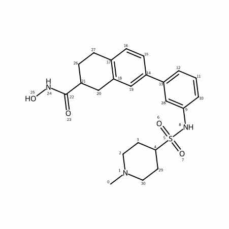 CN1CCC(S(=O)(=O)Nc2cccc(-c3ccc4c(c3)CC(C(=O)NO)CC4)c2)CC1